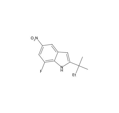 CCC(C)(C)c1cc2cc([N+](=O)[O-])cc(F)c2[nH]1